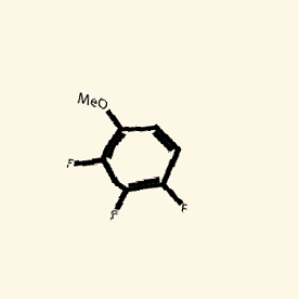 [CH2]Oc1ccc(F)c(F)c1F